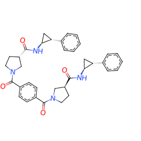 O=C(N[C@H]1C[C@@H]1c1ccccc1)[C@H]1CCN(C(=O)c2ccc(C(=O)N3CC[C@H](C(=O)N[C@H]4C[C@@H]4c4ccccc4)C3)cc2)C1